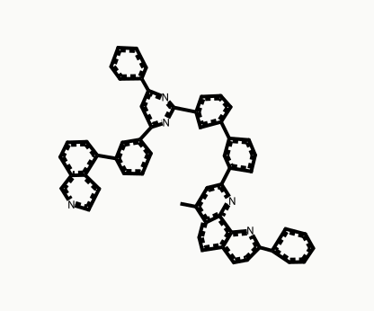 Cc1cc(-c2cccc(-c3cccc(-c4nc(-c5ccccc5)cc(-c5cccc(-c6cccc7cnccc67)c5)n4)c3)c2)nc2c1ccc1ccc(-c3ccccc3)nc12